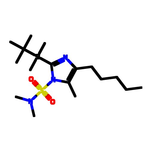 CCCCCc1nc([Si](C)(C)C(C)(C)C)n(S(=O)(=O)N(C)C)c1C